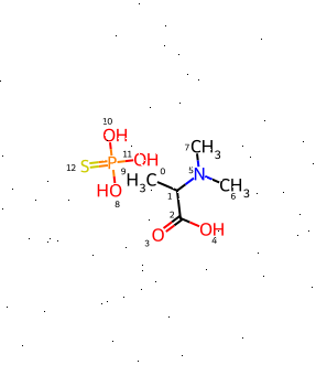 CC(C(=O)O)N(C)C.OP(O)(O)=S